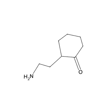 NCCC1CCCCC1=O